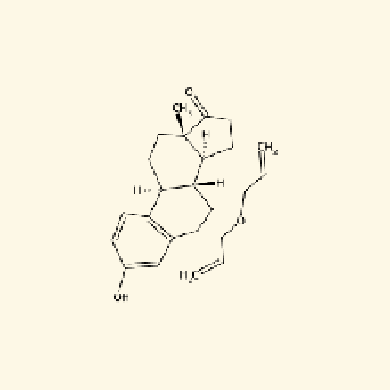 C=CCOCC=C.C[C@]12CC[C@@H]3c4ccc(O)cc4CC[C@H]3[C@@H]1CCC2=O